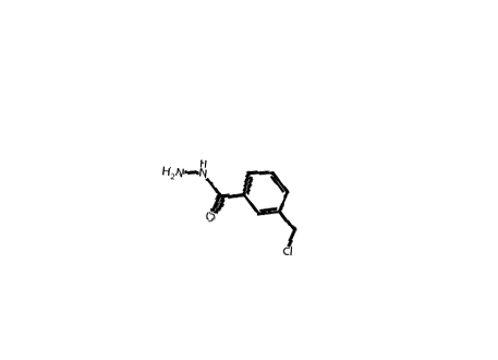 NNC(=O)c1cccc(CCl)c1